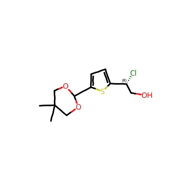 CC1(C)COC(c2ccc([C@H](Cl)CO)s2)OC1